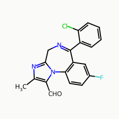 Cc1nc2n(c1C=O)-c1ccc(F)cc1C(c1ccccc1Cl)=NC2